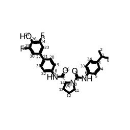 CC(C)c1ccc(NC(=O)N2CCC[C@@H]2C(=O)Nc2ccc(-c3cc(F)c(O)c(F)c3)cc2)cc1